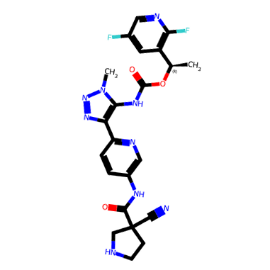 C[C@@H](OC(=O)Nc1c(-c2ccc(NC(=O)C3(C#N)CCNC3)cn2)nnn1C)c1cc(F)cnc1F